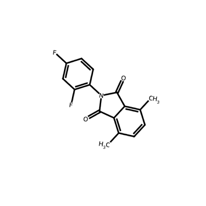 Cc1ccc(C)c2c1C(=O)N(c1ccc(F)cc1F)C2=O